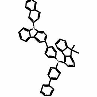 CC1(C)c2ccccc2-c2c(N(c3ccc(-c4ccccc4)cc3)c3ccc(-c4ccc5c(c4)c4ccccc4n5-c4ccc5ccccc5c4)cc3)cccc21